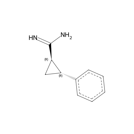 N=C(N)[C@@H]1C[C@H]1c1ccccc1